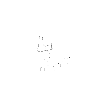 CC[C@H](OC(C)n1cnc2c(N)ncnc21)C(C)OP(=O)(O)OC